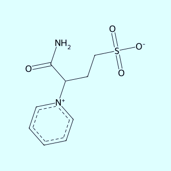 NC(=O)C(CCS(=O)(=O)[O-])[n+]1ccccc1